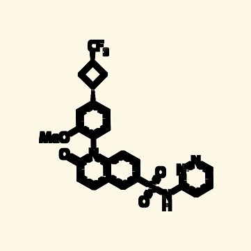 COc1cc([C@H]2C[C@H](C(F)(F)F)C2)ccc1-n1c(=O)ccc2cc(S(=O)(=O)Nc3cccnn3)ccc21